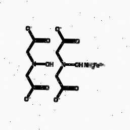 O=C([O-])CN(O)CC(=O)[O-].O=C([O-])CN(O)CC(=O)[O-].[Fe+3].[NH4+]